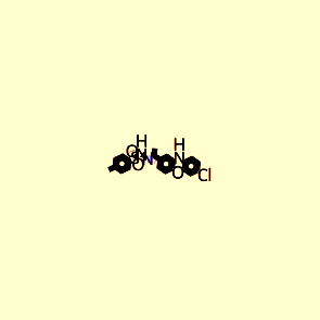 C/C(=N\NS(=O)(=O)c1ccc(C)cc1)c1ccc2c(c1)Nc1ccc(Cl)cc1O2